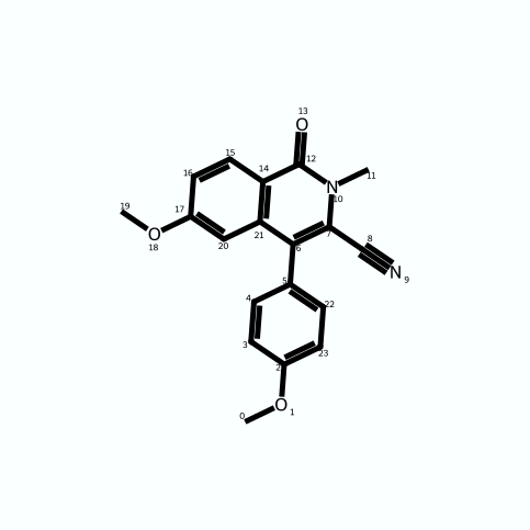 COc1ccc(-c2c(C#N)n(C)c(=O)c3ccc(OC)cc23)cc1